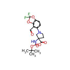 CC(C)(C)OC(=O)NC1(C(=O)O)CCN(c2ccc3c(c2C=O)OC(F)(F)O3)C1